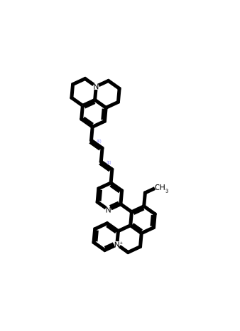 CCc1ccc2c(c1-c1cc(/C=C/C=C/c3cc4c5c(c3)CCCN5CCC4)ccn1)-c1cccc[n+]1CC2